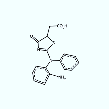 Nc1ccccc1N(C1=NC(=O)C(CC(=O)O)S1)c1ccccc1